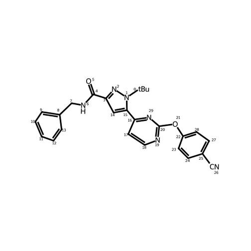 CC(C)(C)n1nc(C(=O)NCc2ccccc2)cc1-c1ccnc(Oc2ccc(C#N)cc2)n1